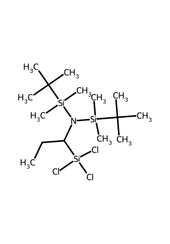 CCC(N([Si](C)(C)C(C)(C)C)[Si](C)(C)C(C)(C)C)[Si](Cl)(Cl)Cl